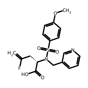 C=C(F)C[C@@H](C(=O)O)N(Cc1cccnc1)S(=O)(=O)c1ccc(OC)cc1